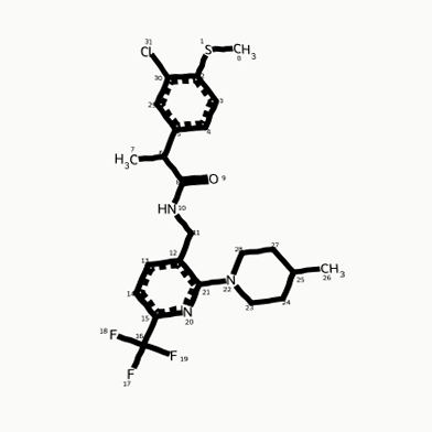 CSc1ccc(C(C)C(=O)NCc2ccc(C(F)(F)F)nc2N2CCC(C)CC2)cc1Cl